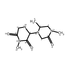 CC1CN(C)C(=O)CN1C1[N]CC(=O)N(C)C1=O